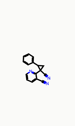 N#Cc1cccnc1C1(C#N)CC1c1ccccc1